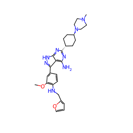 COc1cc(-c2n[nH]c3nc([C@H]4CC[C@H](N5CCN(C)CC5)CC4)nc(N)c23)ccc1NCc1ccco1